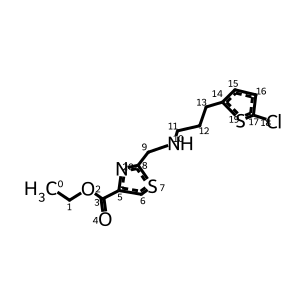 CCOC(=O)c1csc(CNCCCc2ccc(Cl)s2)n1